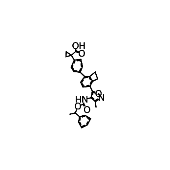 Cc1noc(-c2ccc(-c3ccc(C4(C(=O)O)CC4)cc3)c3c2CC3)c1NC(=O)OC(C)c1ccccc1